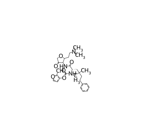 Cc1occc1OC(=O)N[C@@H](CC(C)(C)CCc1ccccc1)C(=O)NC1C(=O)COC1CCN(C)C